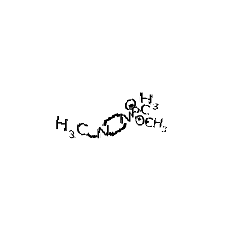 CCN1CCN(P(C)(=O)OC)CC1